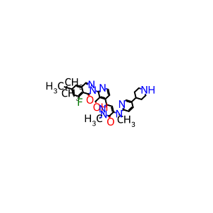 CN(c1ccc(C2CCNCC2)cn1)c1cc(-c2ccnc(-n3ncc4cc(C(C)(C)C)cc(F)c4c3=O)c2CO)nn(C)c1=O